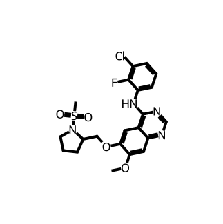 COc1cc2ncnc(Nc3cccc(Cl)c3F)c2cc1OCC1CCCN1S(C)(=O)=O